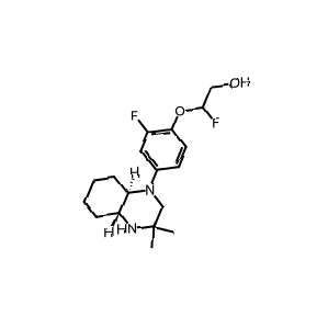 CC1(C)CN(c2ccc(OC(F)CO)c(F)c2)[C@@H]2CCCC[C@H]2N1